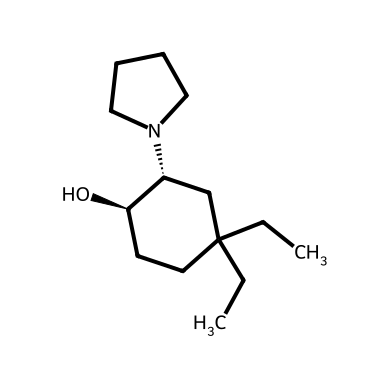 CCC1(CC)CC[C@@H](O)[C@H](N2CCCC2)C1